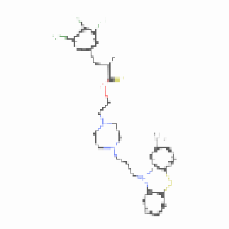 CC(Cc1cc(Cl)c(Cl)c(Cl)c1)C(=S)OCCN1CCN(CCCN2c3ccccc3Sc3ccc(C(F)(F)F)cc32)CC1